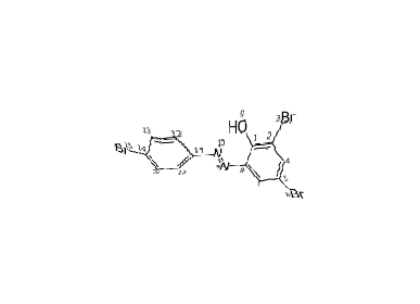 Oc1c(Br)cc(Br)cc1/N=N/c1ccc(Br)cc1